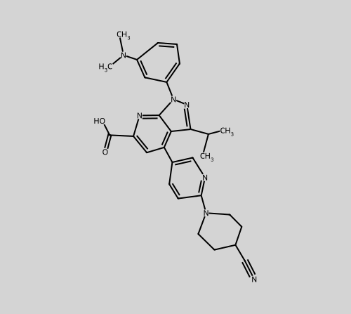 CC(C)c1nn(-c2cccc(N(C)C)c2)c2nc(C(=O)O)cc(-c3ccc(N4CCC(C#N)CC4)nc3)c12